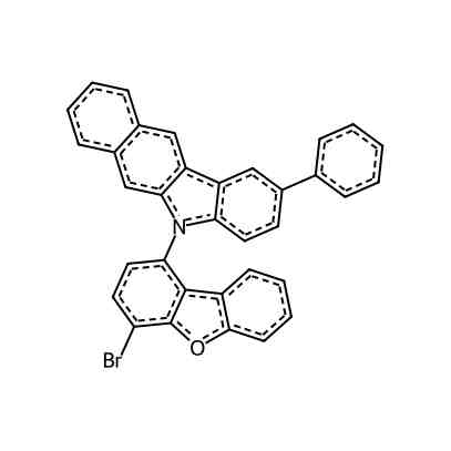 Brc1ccc(-n2c3ccc(-c4ccccc4)cc3c3cc4ccccc4cc32)c2c1oc1ccccc12